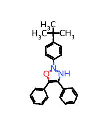 CC(C)(C)c1ccc(N2NC(c3ccccc3)=C(c3ccccc3)O2)cc1